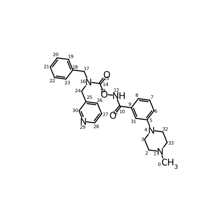 CN1CCN(c2cccc(C(=O)NOC(=O)N(Cc3ccccc3)Cc3cccnc3)c2)CC1